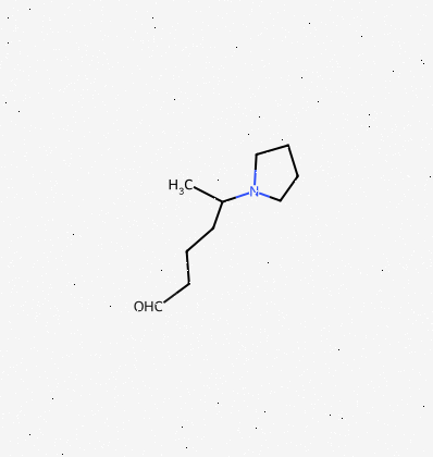 CC(CCCC=O)N1CCCC1